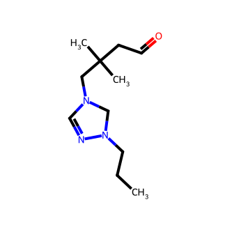 CCCN1CN(CC(C)(C)CC=O)C=N1